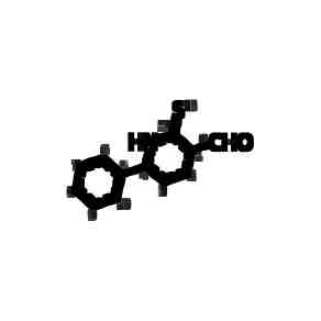 O=Cc1ccc(-c2ccccc2)[nH]c1=S